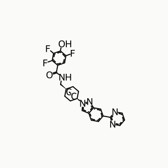 O=C(NC[C@]12CC[C@](n3cc4ccc(-c5ncccn5)cc4n3)(CC1)CC2)c1cc(F)c(O)c(F)c1F